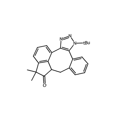 CC1(C)C(=O)C2Cc3ccccc3-c3c(nnn3C(C)(C)C)-c3cccc1c32